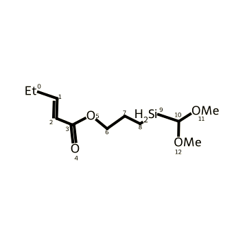 CCC=CC(=O)OCCC[SiH2]C(OC)OC